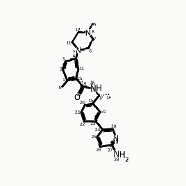 Cc1ccc(N2CCN(C)CC2)cc1C(=O)N[C@H](C)c1cccc(-c2ccc(N)nc2)c1